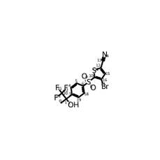 CC(O)(c1ccc(S(=O)(=O)c2sc(C#N)cc2Br)cc1)C(F)(F)F